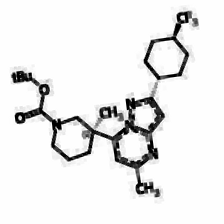 Cc1cc([C@@]2(C)CCCN(C(=O)OC(C)(C)C)C2)n2nc([C@H]3CC[C@H](C(F)(F)F)CC3)cc2n1